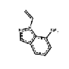 C=Cn1ncc2cccc(N)c21